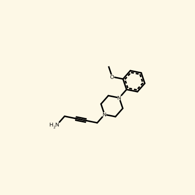 COc1ccccc1N1CCN(CC#CCN)CC1